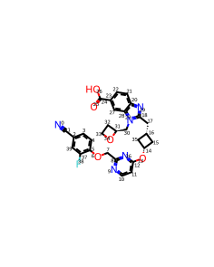 N#Cc1ccc(OCc2nccc(O[C@H]3C[C@@H](Cc4nc5ccc(C(=O)O)cc5n4C[C@@H]4CCO4)C3)n2)c(F)c1